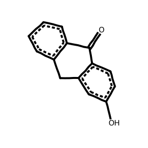 O=C1c2ccccc2Cc2cc(O)ccc21